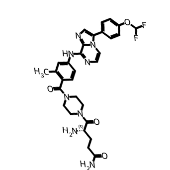 Cc1cc(Nc2nccn3c(-c4ccc(OC(F)F)cc4)cnc23)ccc1C(=O)N1CCN(C(=O)[C@@H](N)CCC(N)=O)CC1